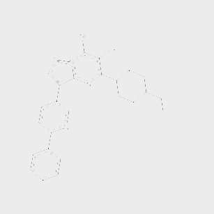 CCOC(=O)CC1CCC(c2nc3c(-c4ccc(-c5ccccc5)nc4)cnn3c(N)c2Br)CC1